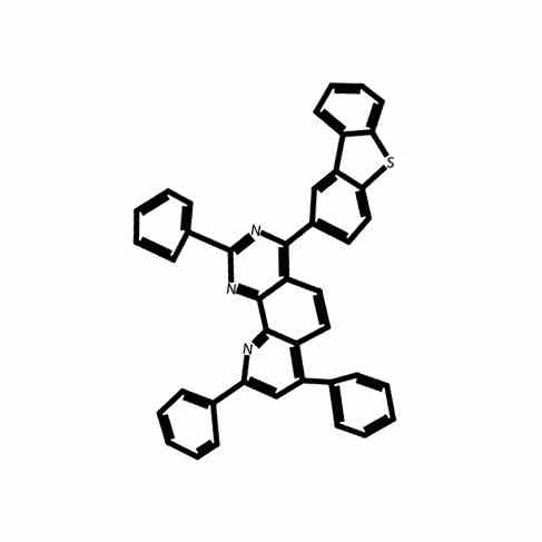 c1ccc(-c2cc(-c3ccccc3)c3ccc4c(-c5ccc6sc7ccccc7c6c5)nc(-c5ccccc5)nc4c3n2)cc1